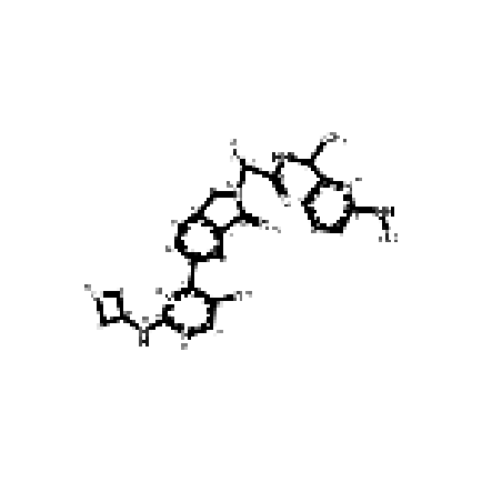 CCNc1cccc(C(C)NC(=O)C(C)N2Cc3ccc(-c4nc(NC5COC5)ncc4Cl)cc3C2=O)n1